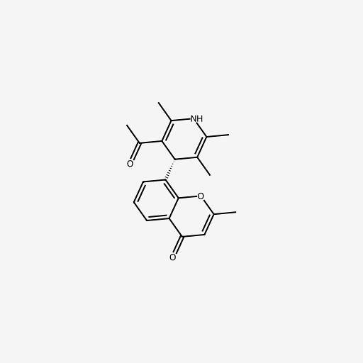 CC(=O)C1=C(C)NC(C)=C(C)[C@@H]1c1cccc2c(=O)cc(C)oc12